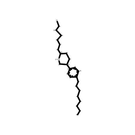 CCCCCCCCc1ccc(C2CCC(CCCCCCC)OC2)cc1